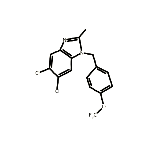 Cc1nc2cc(Cl)c(Cl)cc2n1Cc1ccc(OC(F)(F)F)cc1